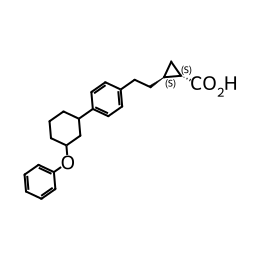 O=C(O)[C@H]1C[C@@H]1CCc1ccc(C2CCCC(Oc3ccccc3)C2)cc1